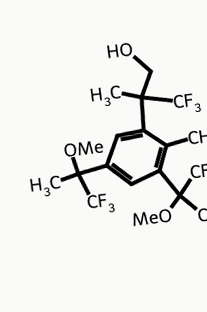 COC(C)(c1cc(C(C)(CO)C(F)(F)F)c(C)c(C(C)(OC)C(F)(F)F)c1)C(F)(F)F